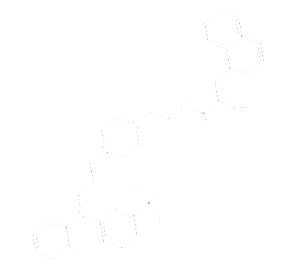 CC(Cc1cccc2ccccc12)C(=S)OCCN1CCN(CCCN2c3ccccc3Sc3ccc(C(F)(F)F)cc32)CC1